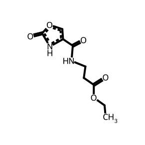 CCOC(=O)CCNC(=O)c1coc(=O)[nH]1